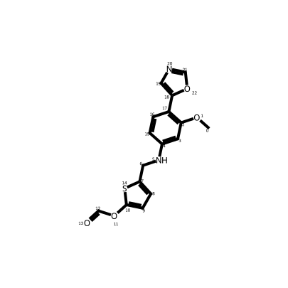 COc1cc(NCc2ccc(OC=O)s2)ccc1-c1cnco1